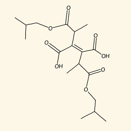 CC(C)COC(=O)C(C)C(C(=O)O)=C(C(=O)O)C(C)C(=O)OCC(C)C